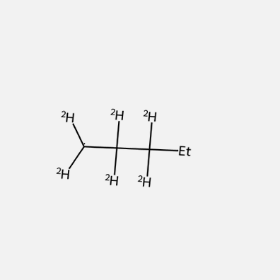 [2H][C]([2H])C([2H])([2H])C([2H])([2H])CC